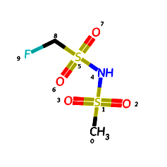 CS(=O)(=O)NS(=O)(=O)CF